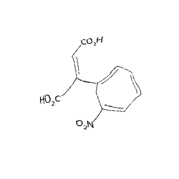 O=C(O)/C=C(/C(=O)O)c1ccccc1[N+](=O)[O-]